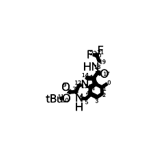 CC1CC=C2CNC(C(=O)OC(C)(C)C)Cn3cc(C(=O)NCC(F)F)c1c32